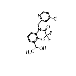 C[C@@H](O)c1cccc2c1OC(F)(F)C(=O)N2Cc1cc(Cl)ccn1